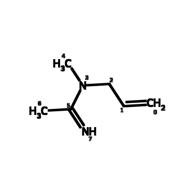 C=CCN(C)C(C)=N